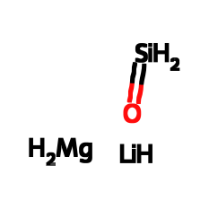 O=[SiH2].[LiH].[MgH2]